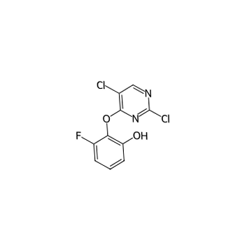 Oc1cccc(F)c1Oc1nc(Cl)ncc1Cl